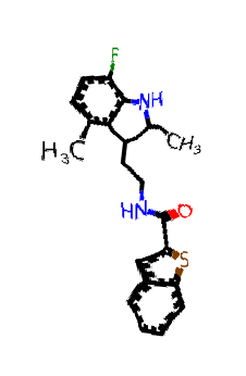 Cc1ccc(F)c2c1C(CCNC(=O)c1cc3ccccc3s1)C(C)N2